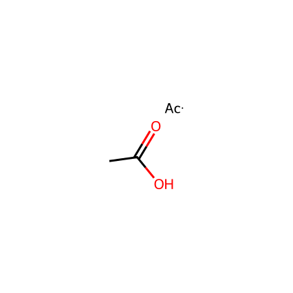 CC(=O)O.[Ac]